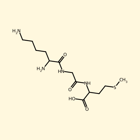 CSCCC(NC(=O)CNC(=O)C(N)CCCCN)C(=O)O